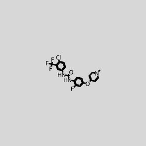 CN1C=CC(Oc2ccc(NC(=O)Nc3ccc(Cl)c(C(F)(F)F)c3)c(F)c2)=CC1